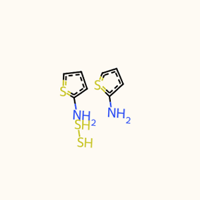 Nc1cccs1.Nc1cccs1.SS